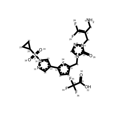 NCC(Cn1ncn(Cc2ccc(-c3cnn(S(=O)(=O)C4CC4)c3)s2)c1=O)=C(F)F.O=C(O)C(F)(F)F